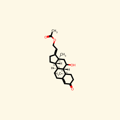 CC(=O)OCC=C1CC[C@H]2[C@@H]3CCC4=CC(=O)CC[C@]4(C)[C@H]3C(O)C[C@]12C